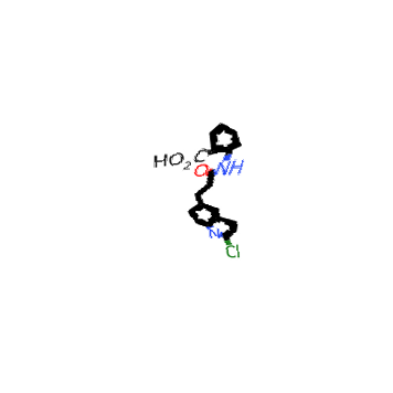 O=C(CCc1ccc2nc(Cl)ccc2c1)Nc1ccccc1C(=O)O